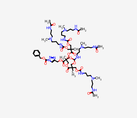 BC(=O)NCCCN(C)CCCNC(=O)OCC(C)(COC(=O)NCCCN(C)CCCNC(B)=O)C(=O)OCC(C)(COC(=O)C(C)(COC(=O)NCCCN(C)CCCNC(B)=O)COC(O)NCCCN(C)CCCNC(B)=O)C(=O)OCc1cn(C(=O)OCc2ccccc2)nn1